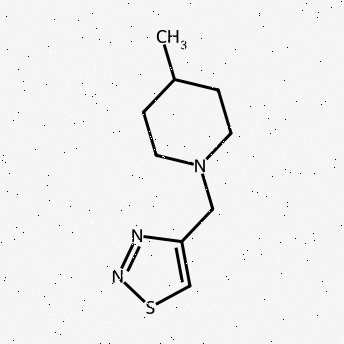 CC1CCN(Cc2csnn2)CC1